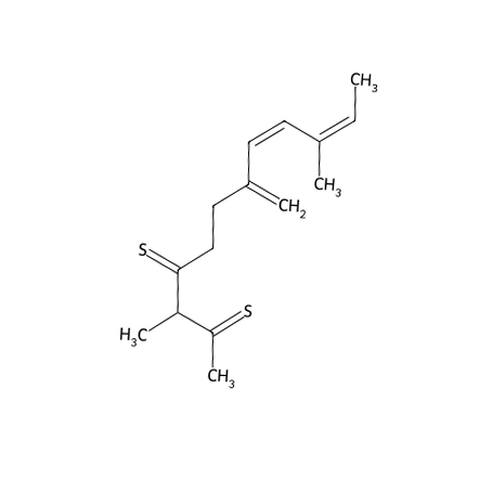 C=C(/C=C\C(C)=C/C)CCC(=S)C(C)C(C)=S